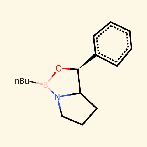 CCCCB1O[C@@H](c2ccccc2)C2CCCN12